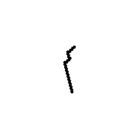 CCCCCCCCCCCCCCCCCCCCC(C)CCCC(C)CCCC(C)CCCCCC